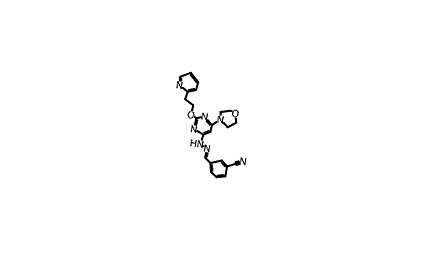 N#Cc1cccc(C=NNc2cc(N3CCOCC3)nc(OCCc3ccccn3)n2)c1